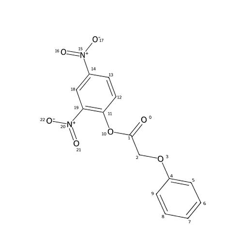 O=C(COc1ccccc1)Oc1ccc([N+](=O)[O-])cc1[N+](=O)[O-]